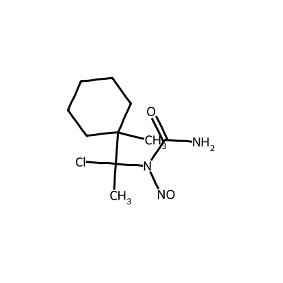 CC1(C(C)(Cl)N(N=O)C(N)=O)CCCCC1